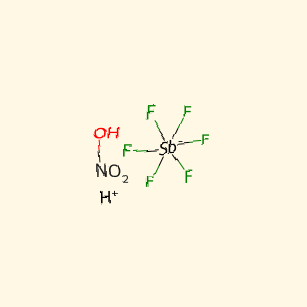 O=[N+]([O-])O.[F][Sb-]([F])([F])([F])([F])[F].[H+]